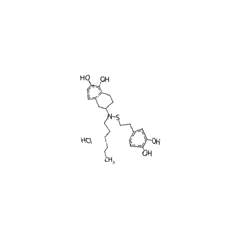 CCCCCCN(SCCc1ccc(O)c(O)c1)C1CCc2c(ccc(O)c2O)C1.Cl